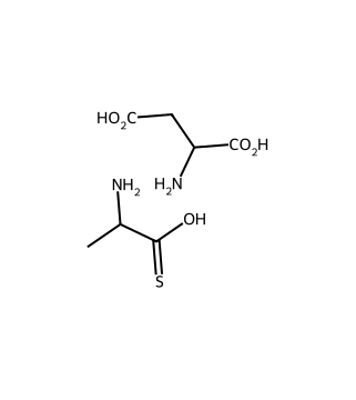 CC(N)C(O)=S.NC(CC(=O)O)C(=O)O